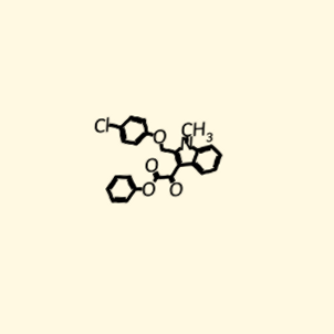 Cn1c(COc2ccc(Cl)cc2)c(C(=O)C(=O)Oc2ccccc2)c2ccccc21